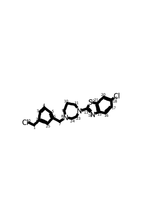 ClCc1cccc(CN2CCCN(c3nc4ccc(Cl)cc4s3)CC2)c1